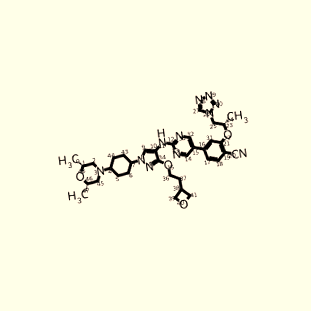 C[C@@H]1CN(C2CCC(n3cc(Nc4ncc(-c5ccc(C#N)c(O[C@@H](C)Cn6cnnn6)c5)cn4)c(OCCC4COC4)n3)CC2)C[C@H](C)O1